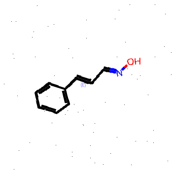 ON=C/C=C/c1ccccc1